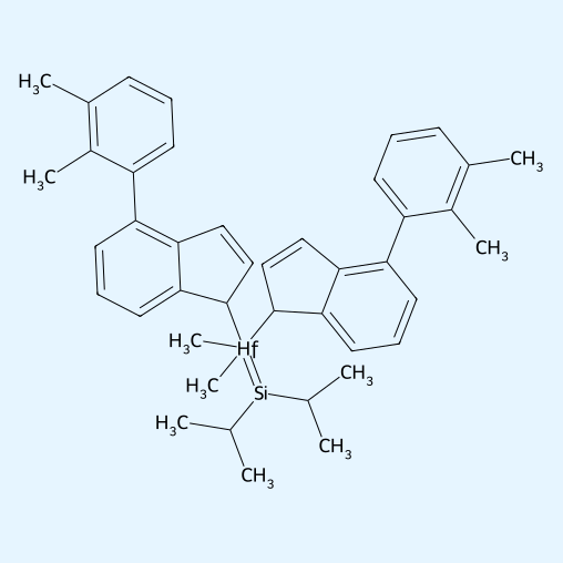 Cc1cccc(-c2cccc3c2C=C[CH]3[Hf]([CH3])([CH3])([CH]2C=Cc3c(-c4cccc(C)c4C)cccc32)=[Si](C(C)C)C(C)C)c1C